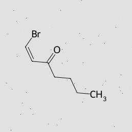 CCCCC(=O)/C=C\Br